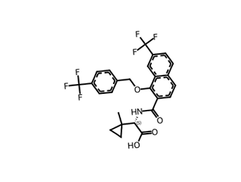 CC1([C@H](NC(=O)c2ccc3ccc(C(F)(F)F)cc3c2OCc2ccc(C(F)(F)F)cc2)C(=O)O)CC1